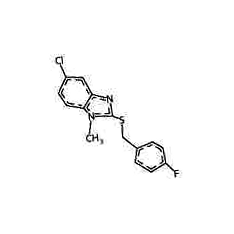 Cn1c(SCc2ccc(F)cc2)nc2cc(Cl)ccc21